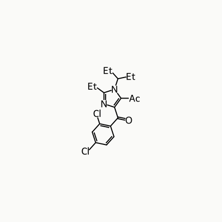 CCc1nc(C(=O)c2ccc(Cl)cc2Cl)c(C(C)=O)n1C(CC)CC